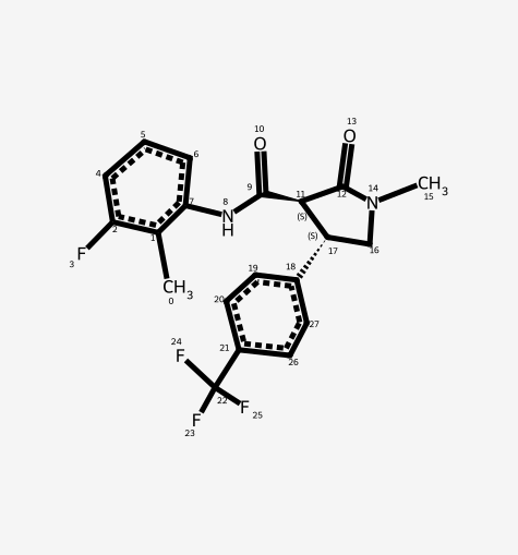 Cc1c(F)cccc1NC(=O)[C@H]1C(=O)N(C)C[C@@H]1c1ccc(C(F)(F)F)cc1